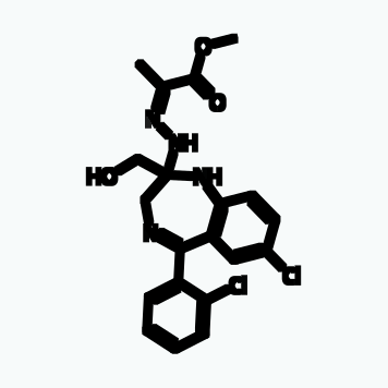 COC(=O)C(C)=NNC1(CO)CN=C(c2ccccc2Cl)c2cc(Cl)ccc2N1